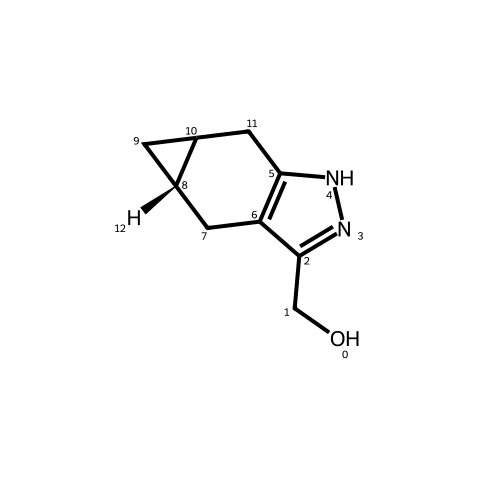 OCc1n[nH]c2c1C[C@@H]1CC1C2